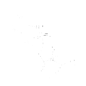 Cc1cccc(F)c1NS(=O)(=O)c1nc2nccc(C)n2n1